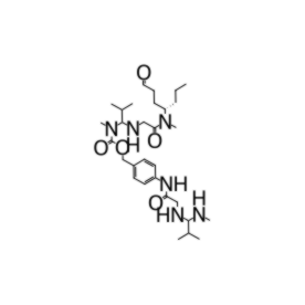 CCC[C@@H](CCC=O)N(C)C(=O)CNC(C(C)C)N(C)C(=O)OCc1ccc(NC(=O)CNC(NC)C(C)C)cc1